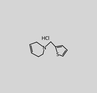 C1=CCN(Cc2cccs2)CC1.Cl